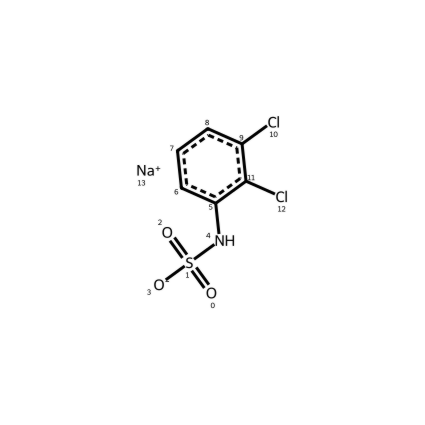 O=S(=O)([O-])Nc1cccc(Cl)c1Cl.[Na+]